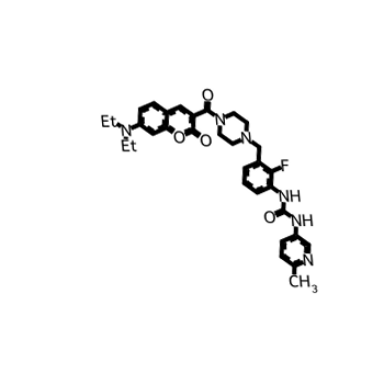 CCN(CC)c1ccc2cc(C(=O)N3CCN(Cc4cccc(NC(=O)Nc5ccc(C)nc5)c4F)CC3)c(=O)oc2c1